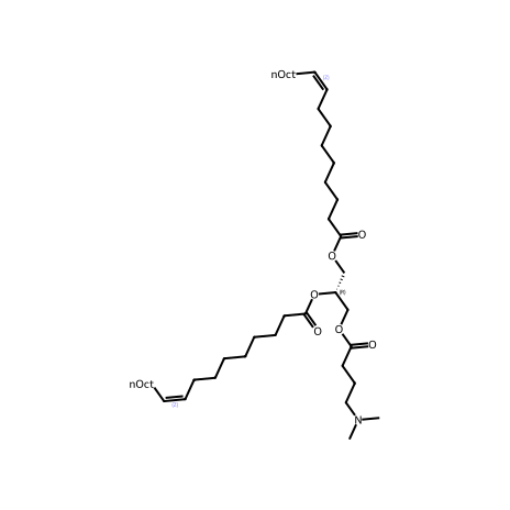 CCCCCCCC/C=C\CCCCCCCC(=O)OC[C@H](COC(=O)CCCN(C)C)OC(=O)CCCCCCC/C=C\CCCCCCCC